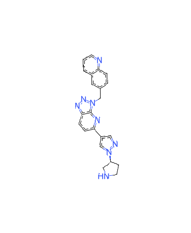 c1cnc2ccc(Cn3nnc4ccc(-c5cnn([C@H]6CCNC6)c5)nc43)cc2c1